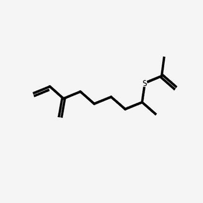 C=CC(=C)CCCCC(C)SC(=C)C